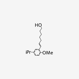 COc1ccc(C(C)C)cc1/C=C/CCCCCO